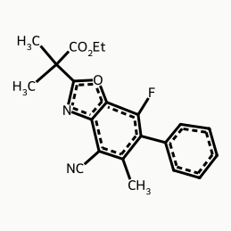 CCOC(=O)C(C)(C)c1nc2c(C#N)c(C)c(-c3ccccc3)c(F)c2o1